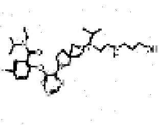 CCN(C(=O)c1cc(F)ccc1Oc1nncnc1N1CCC2(C1)CN([C@H](CCNCCCO)C(C)C)C2)C(C)C